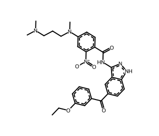 CCOc1cccc(C(=O)c2ccc3[nH]nc(NC(=O)c4ccc(N(C)CCCN(C)C)cc4[N+](=O)[O-])c3c2)c1